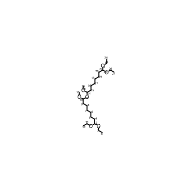 CCOC(CCCCCCC(OC)OC(CCCCCCC(OCC)OCC)OC)OCC